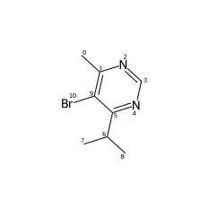 Cc1ncnc(C(C)C)c1Br